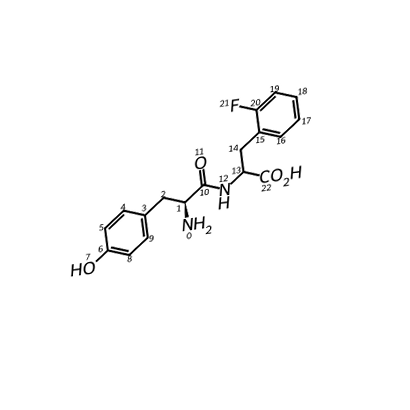 N[C@@H](Cc1ccc(O)cc1)C(=O)NC(Cc1ccccc1F)C(=O)O